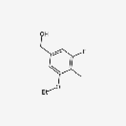 CCOc1cc(CO)cc(F)c1C